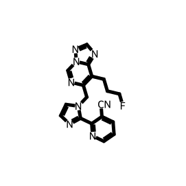 N#Cc1cccnc1-c1nccn1Cc1ncn2ncnc2c1CCCF